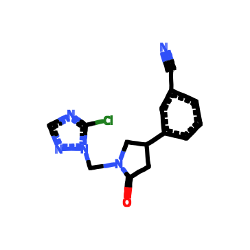 N#Cc1cccc(C2CC(=O)N(Cn3ncnc3Cl)C2)c1